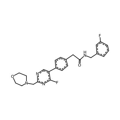 O=C(Cc1ccc(-c2cnc(CN3CCOCC3)nc2F)cc1)NCc1cccc(F)c1